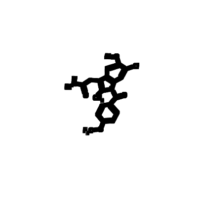 CCNC(=O)Cc1c(C)n(C(=O)c2ccc(OC(F)(F)F)cc2)c2cc(Cl)c(OC)cc12